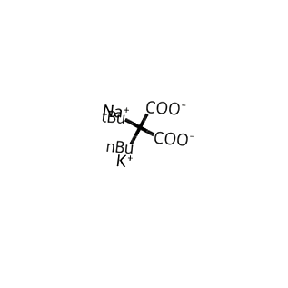 CCCCC(C(=O)[O-])(C(=O)[O-])C(C)(C)C.[K+].[Na+]